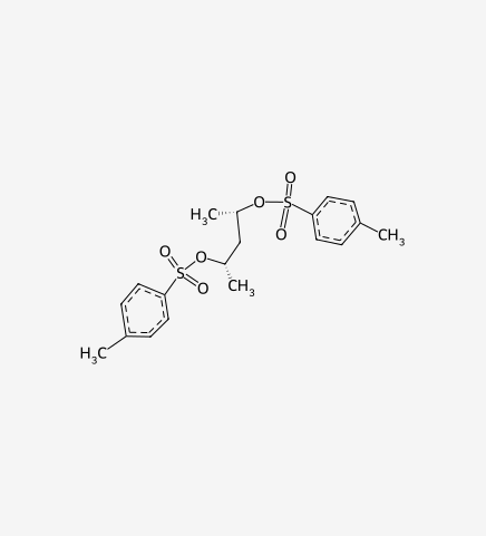 Cc1ccc(S(=O)(=O)O[C@@H](C)C[C@H](C)OS(=O)(=O)c2ccc(C)cc2)cc1